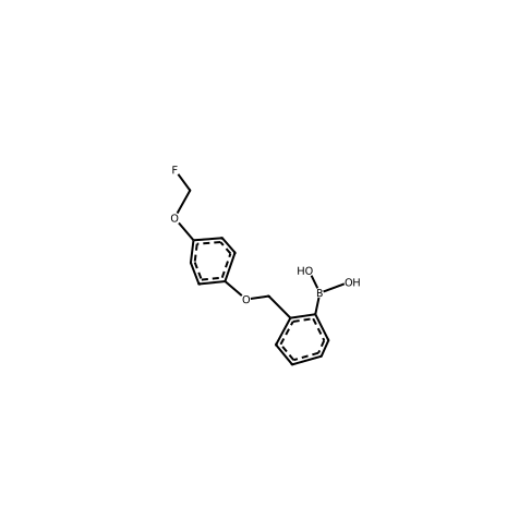 OB(O)c1ccccc1COc1ccc(OCF)cc1